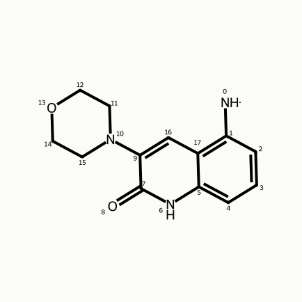 [NH]c1cccc2[nH]c(=O)c(N3CCOCC3)cc12